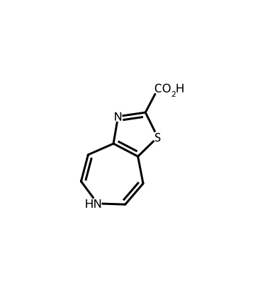 O=C(O)c1nc2c(s1)C=CNC=C2